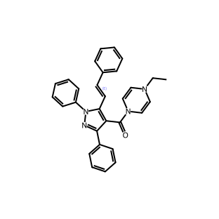 CCN1C=CN(C(=O)c2c(-c3ccccc3)nn(-c3ccccc3)c2/C=C/c2ccccc2)C=C1